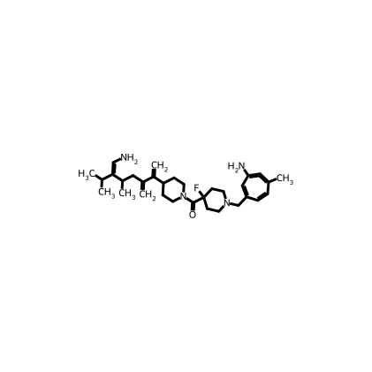 C=C(CC(C)/C(=C\N)C(C)C)C(=C)C1CCN(C(=O)C2(F)CCN(CC3=CC(N)=C=C(C)C=C3)CC2)CC1